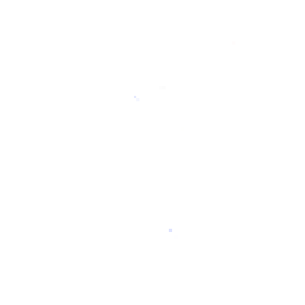 CC(C)(O)c1c(C(=O)N[C@H]2CCOc3ccccc32)sc2c(-c3ccnc(Cl)c3)ccnc12